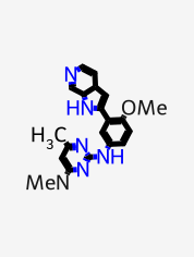 CNc1cc(C)nc(Nc2ccc(OC)c(C3=CC4C=CN=CC4N3)c2)n1